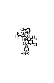 Cc1cc(Cl)cc(C(=O)N2CCS(=N)(=O)CC2)c1NC(=O)c1cc(C(F)(F)F)nn1-c1ncccc1Cl